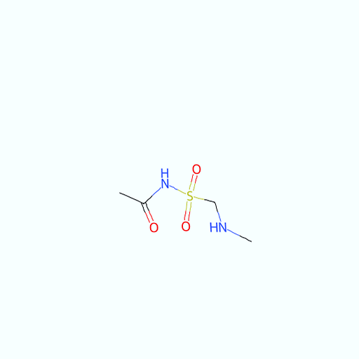 CNCS(=O)(=O)NC(C)=O